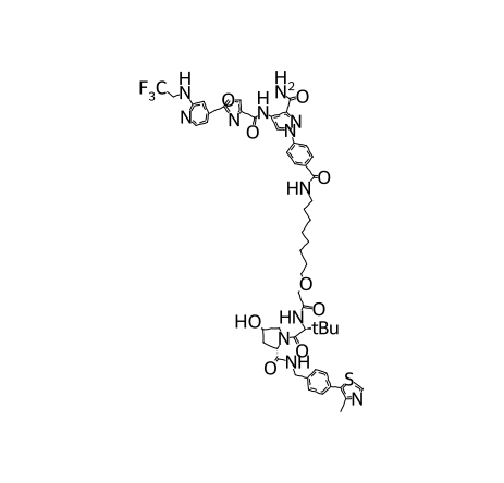 Cc1ncsc1-c1ccc(CNC(=O)[C@@H]2C[C@@H](O)CN2C(=O)[C@@H](NC(=O)COCCCCCCCCNC(=O)c2ccc(-n3cc(NC(=O)c4coc(-c5ccnc(NCC(F)(F)F)c5)n4)c(C(N)=O)n3)cc2)C(C)(C)C)cc1